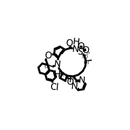 CO[C@@]1(c2ncccn2)CCC[C@H](C)[C@@H](C)S(=O)(=O)NC(=O)c2ccc3c(c2)N(C[C@@H]2CC[C@H]21)C[C@@]1(CCCc2cc(Cl)ccc21)CO3